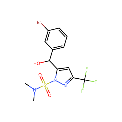 CN(C)S(=O)(=O)n1nc(C(F)(F)F)cc1C(O)c1cccc(Br)c1